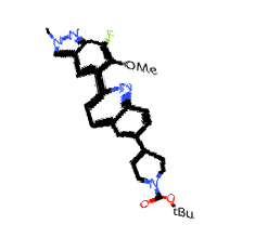 COc1c(-c2ccc3cc(C4CCN(C(=O)OC(C)(C)C)CC4)ccc3n2)cc2cn(C)nc2c1F